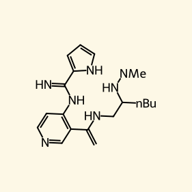 C=C(NCC(CCCC)NNC)c1cnccc1NC(=N)c1ccc[nH]1